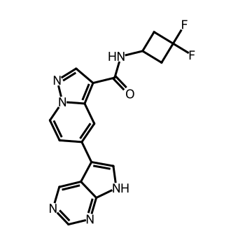 O=C(NC1CC(F)(F)C1)c1cnn2ccc(-c3c[nH]c4ncncc34)cc12